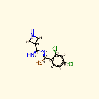 N=C(/N=C(\S)c1ccc(Cl)cc1Cl)C1CNC1